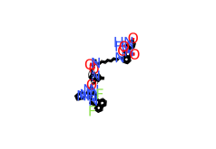 C#Cc1c(F)ccc2cccc(-c3ncc4c(N5CC6CCC(C5)N6)nc(OC[C@@]56CC[C@@H](COC(=O)N(C)CCCCCCCNc7cccc8c7C(=O)N(C7CCC(=O)NC7=O)C8=O)N5CC(=C)C6)nc4c3F)c12